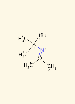 CC(C)=NC(C)(C)C(C)(C)C